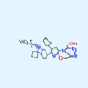 O=C(O)NC1(c2ccc(-c3nc4c(cc3-c3ccccc3)-n3c(CO)nnc3CO4)cc2)CCC1